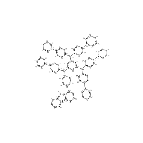 c1ccc(-c2ccc(N(c3ccc(-c4ccccc4)cc3)c3cc(N(c4ccc(-c5ccccc5)cc4)c4ccc(-c5ccccc5)cc4)cc(N(c4ccc(-c5ccccc5)cc4)c4ccc(-c5cccc6c5oc5ccccc56)cc4)c3)cc2)cc1